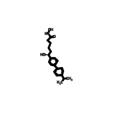 CC(C)c1ccc(-c2ccc([C@H](O)CCCCC(=O)NO)cc2)cc1